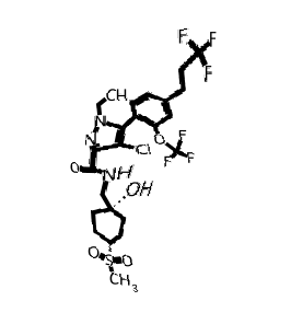 CCn1nc(C(=O)NC[C@]2(O)CC[C@@H](S(C)(=O)=O)CC2)c(Cl)c1-c1ccc(CCC(F)(F)F)cc1OC(F)(F)F